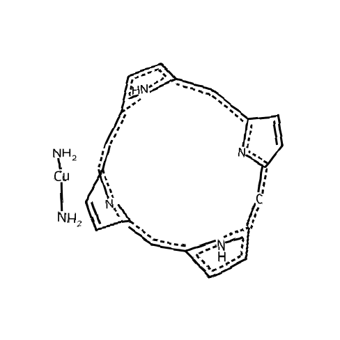 C1=Cc2cc3ccc(cc4nc(cc5ccc(cc1n2)[nH]5)C=C4)[nH]3.[NH2][Cu][NH2]